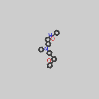 c1ccc(-c2nc3ccc4cc(N(c5ccccc5)c5ccc(-c6cccc7c6oc6ccccc67)cc5)ccc4c3o2)cc1